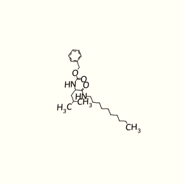 CCCCCCCCCCNC(=O)C(CC(C)C)NC(=O)OCc1ccccc1